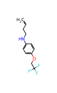 C=CCCNc1ccc(OCC(F)(F)F)cc1